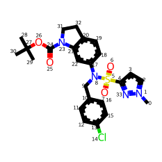 Cn1ccc(S(=O)(=O)N(Cc2ccc(Cl)cc2)c2ccc3c(c2)N(C(=O)OC(C)(C)C)CC3)n1